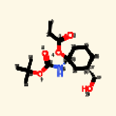 CCC(=O)O[C@@]1(NC(=O)OC(C)(C)C)CCC[C@H](CO)C1